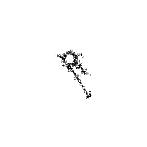 CC[C@H](C)[C@H](CCNC(=O)CN)C(=O)NCC(=O)N[C@@H]1C[S+]([O-])C2Nc3c(ccc(OC)c3CSCCCCNC(=O)CCOCCOCCOCCOCCN3C(=O)C=CC3=O)C2[C@H](CO)CNC(=O)[C@H]([C@@H](C)[C@@H](O)CO)NC(=O)C[C@@H](O)CNC(=O)[C@H](CC(N)=O)NC1=O